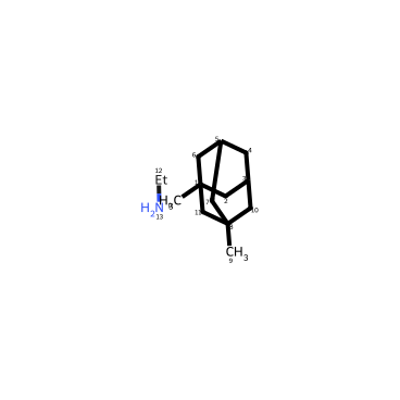 CC12CC3CC(C1)CC(C)(C3)C2.CCN